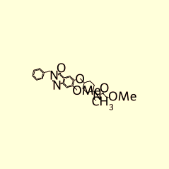 COCC(=O)N(C)C1CCC(Oc2cc3c(=O)n(Cc4ccccc4)cnc3cc2OC)CC1